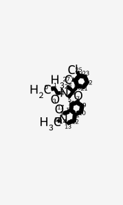 C=CC(=O)N1CC(Oc2ccc3ccn(C)c(=O)c3c2)(c2cccc(Cl)c2C)C1